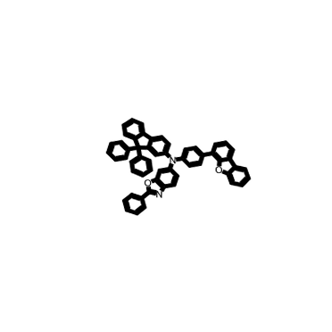 c1ccc(-c2nc3ccc(N(c4ccc(-c5cccc6c5oc5ccccc56)cc4)c4ccc5c(c4)C(c4ccccc4)(c4ccccc4)c4ccccc4-5)cc3o2)cc1